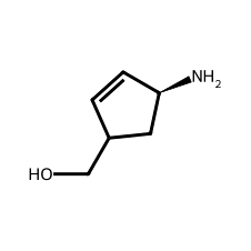 N[C@@H]1C=CC(CO)C1